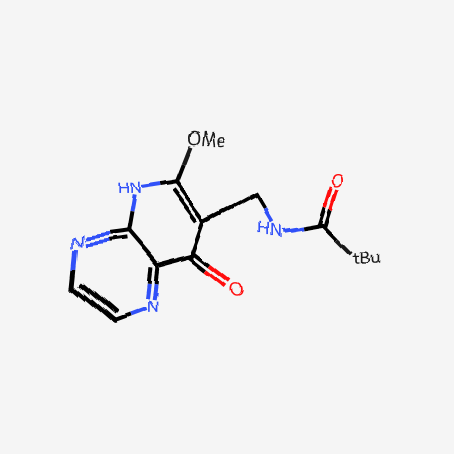 COc1[nH]c2nccnc2c(=O)c1CNC(=O)C(C)(C)C